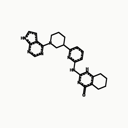 O=c1nc(Nc2cccc(C3CCCN(c4ncnc5[nH]ccc45)C3)n2)[nH]c2c1CCCC2